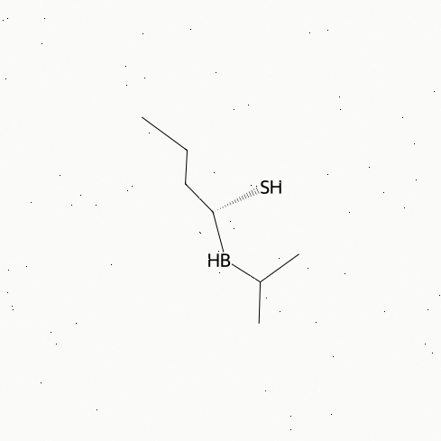 CCC[C@H](S)BC(C)C